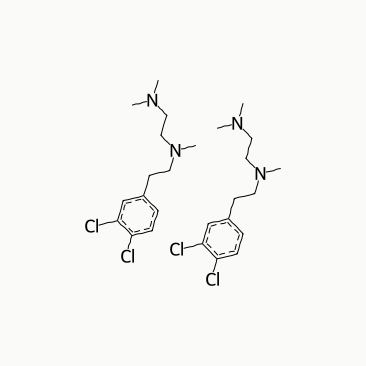 CN(C)CCN(C)CCc1ccc(Cl)c(Cl)c1.CN(C)CCN(C)CCc1ccc(Cl)c(Cl)c1